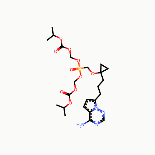 CC(C)OC(=O)OCOP(=O)(COC1(CCCc2ccc3c(N)ncnn23)CC1)OCOC(=O)OC(C)C